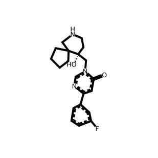 O=c1cc(-c2cccc(F)c2)ncn1C[C@]1(O)CCNCC12CCCC2